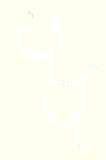 Brc1ccc(-c2c[c]ncc2)c(Br)c1